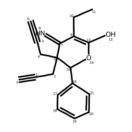 C#CCC1(CC#C)C(=N)C(CC)=C(O)OC1c1ccccc1